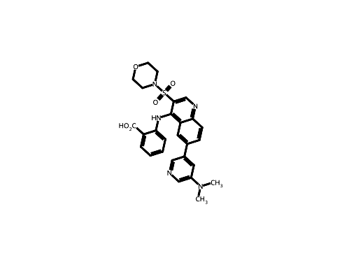 CN(C)c1cncc(-c2ccc3ncc(S(=O)(=O)N4CCOCC4)c(Nc4ccccc4C(=O)O)c3c2)c1